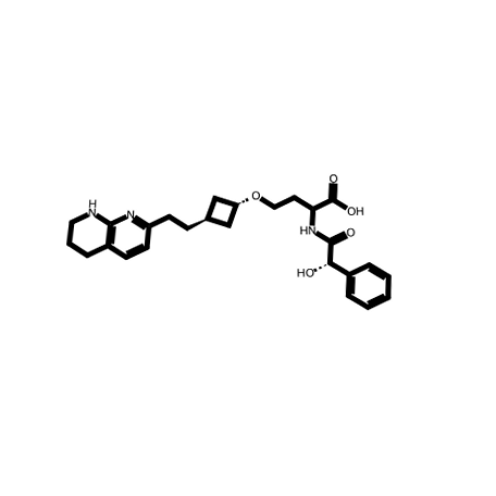 O=C(O)C(CCO[C@H]1C[C@H](CCc2ccc3c(n2)NCCC3)C1)NC(=O)[C@@H](O)c1ccccc1